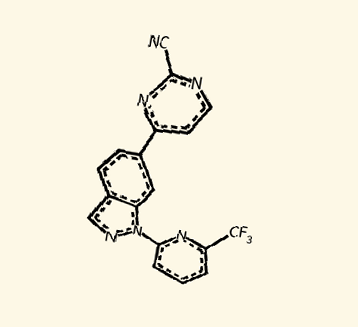 N#Cc1nccc(-c2ccc3cnn(-c4cccc(C(F)(F)F)n4)c3c2)n1